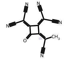 C/C(C#N)=C1/C(=O)C(=C(C#N)C#N)C1=C(C#N)C#N